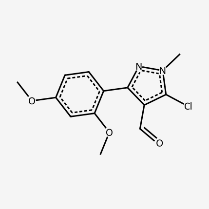 COc1ccc(-c2nn(C)c(Cl)c2C=O)c(OC)c1